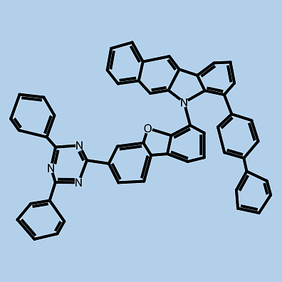 c1ccc(-c2ccc(-c3cccc4c5cc6ccccc6cc5n(-c5cccc6c5oc5cc(-c7nc(-c8ccccc8)nc(-c8ccccc8)n7)ccc56)c34)cc2)cc1